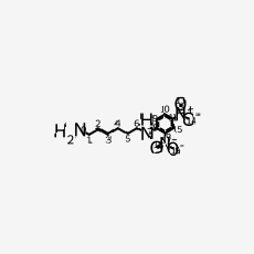 NCCCCCCNc1ccc([N+](=O)[O-])cc1[N+](=O)[O-]